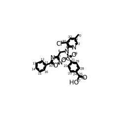 Cc1cnc(N(Cc2noc(-c3ccccc3)n2)S(=O)(=O)c2ccc(C(=O)O)cc2)c(Cl)c1